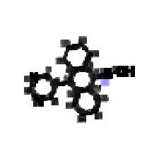 O/B=c1\c2c(c(-c3cncnc3)c3ccccc13)CC=CC=2